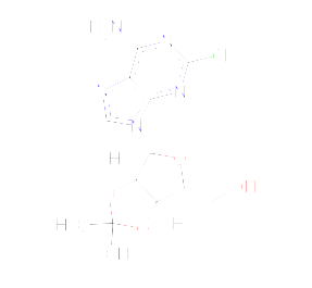 CC1(C)O[C@@H]2[C@H](O1)[C@@H](CO)O[C@H]2n1cnc2c(N)nc(Cl)nc21